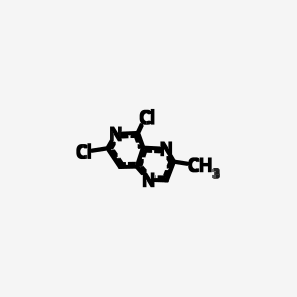 Cc1cnc2cc(Cl)nc(Cl)c2n1